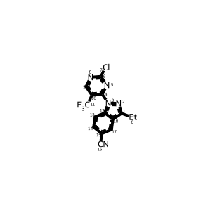 CCc1nn(-c2nc(Cl)ncc2C(F)(F)F)c2ccc(C#N)cc12